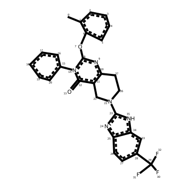 Cc1ccccc1Oc1nc2c(c(=O)n1-c1ccccc1)CN(c1nc3ccc(C(F)(F)F)cc3[nH]1)CC2